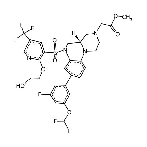 COC(=O)CN1CCN2c3ccc(-c4cc(F)cc(OC(F)F)c4)cc3N(S(=O)(=O)c3cc(C(F)(F)F)cnc3OCCO)C[C@@H]2C1